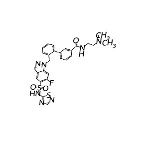 CN(C)CCNC(=O)c1cccc(-c2ccccc2Cn2ncc3cc(S(=O)(=O)Nc4ncns4)c(F)cc32)c1